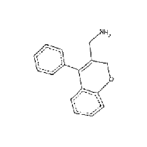 NCC1=C(c2ccccc2)c2ccccc2OC1